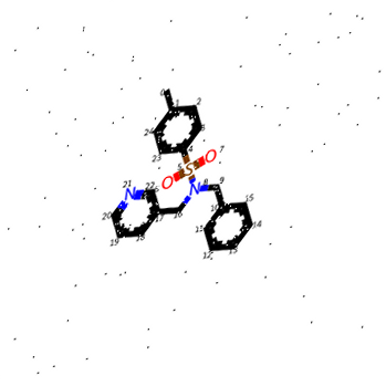 Cc1ccc(S(=O)(=O)N(Cc2ccccc2)Cc2cccnc2)cc1